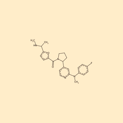 CNC(C)c1ccc(C(=O)N2CCCC2c2ccnc(N(C)c3ccc(F)cc3)c2)o1